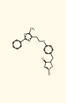 Cc1oc(-c2ccccc2)nc1CCOc1ccc(CC2S[N+]([O-])=NC2=O)cc1